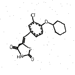 O=C1NC(=O)/C(=C/c2ccc(OC3CCCCC3)c(Cl)c2)S1